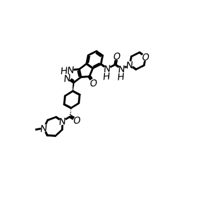 CN1CCCN(C(=O)[C@H]2CC[C@H](c3n[nH]c4c3C(=O)c3c(NC(=O)NN5CCOCC5)cccc3-4)CC2)CC1